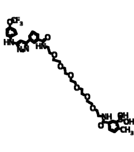 Cc1ccc(C(=O)NCCOCCOCCOCCOCCOCCOCCNC(=O)c2cccc(-c3cc(Nc4ccc(OC(F)(F)F)cc4)ncn3)c2)cc1B(O)O